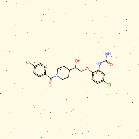 NC(=O)Nc1cc(Cl)ccc1OCC(O)C1CCN(C(=O)c2ccc(Cl)cc2)CC1